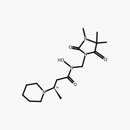 C[C@H](CC(=O)N(O)CN1C(=O)N(C)C(C)(C)C1=O)N1CCCCC1